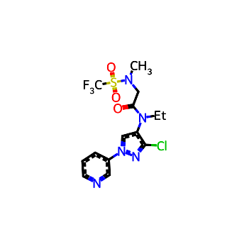 CCN(C(=O)CN(C)S(=O)(=O)C(F)(F)F)c1cn(-c2cccnc2)nc1Cl